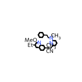 CCc1cc2ccc(C(C)(C#N)Cc3cccc(N(C)CCc4ccccc4)n3)cc2nc1OC